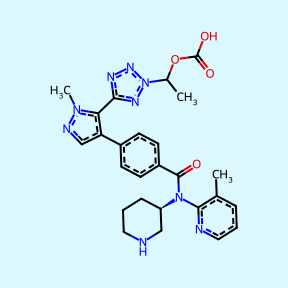 Cc1cccnc1N(C(=O)c1ccc(-c2cnn(C)c2-c2nnn(C(C)OC(=O)O)n2)cc1)[C@@H]1CCCNC1